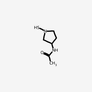 CC(=O)NC1CCN(S)C1